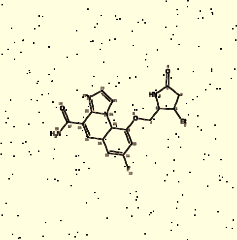 CCC1CC(=O)NC1COC1=CC(F)=CC2C=C(C(N)=O)c3nccn3C12